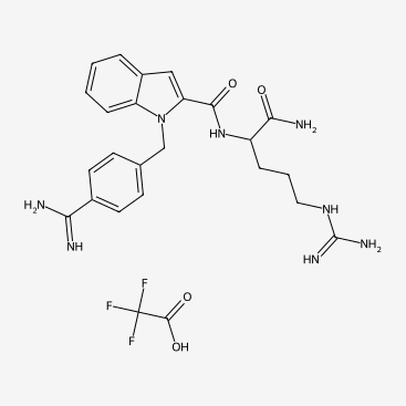 N=C(N)NCCCC(NC(=O)c1cc2ccccc2n1Cc1ccc(C(=N)N)cc1)C(N)=O.O=C(O)C(F)(F)F